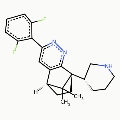 CC1(C)[C@H]2CC[C@]1([C@H]1CCCNC1)c1nnc(-c3c(F)cccc3F)cc12